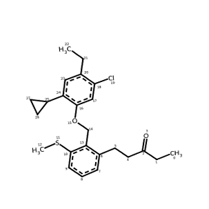 CCC(=O)CCc1cccc(SC)c1COc1cc(Cl)c(CC)cc1C1CC1